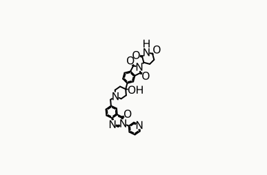 O=C1CCC(N2C(=O)c3ccc(C4(O)CCN(Cc5ccc6ncn(-c7cccnc7)c(=O)c6c5)CC4)cc3C2=O)C(=O)N1